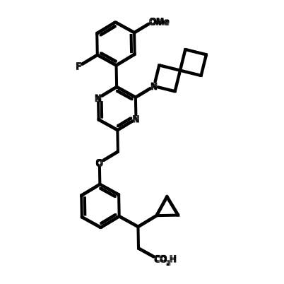 COc1ccc(F)c(-c2ncc(COc3cccc(C(CC(=O)O)C4CC4)c3)nc2N2CC3(CCC3)C2)c1